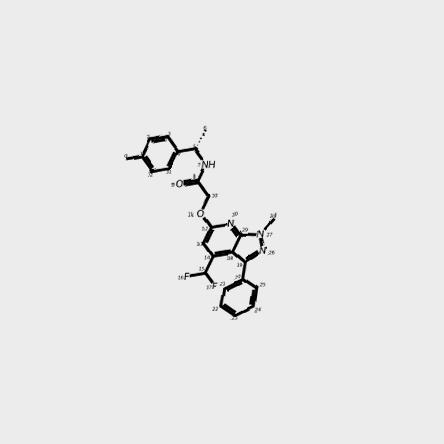 Cc1ccc([C@H](C)NC(=O)COc2cc(C(F)F)c3c(-c4ccccc4)nn(C)c3n2)cc1